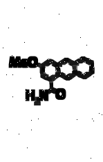 COc1cc(C(N)=O)c2cc3ccccc3cc2c1